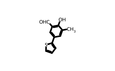 Cc1cc(-c2cccs2)cc(C=O)c1O